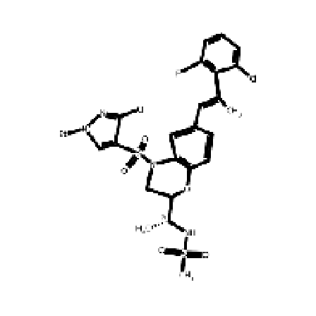 CCn1cc(S(=O)(=O)N2CC([C@@H](C)NS(C)(=O)=O)Oc3ccc(C=C(C)c4c(F)cccc4Cl)cc32)c(Cl)n1